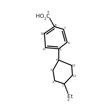 CCC1CCC(c2ccc(C(=O)O)cc2)CC1